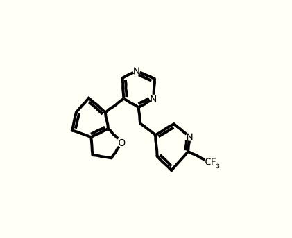 FC(F)(F)c1ccc(Cc2ncncc2-c2cccc3c2OCC3)cn1